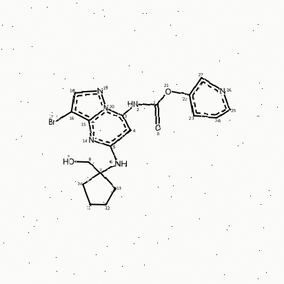 O=C(Nc1cc(NC2(CO)CCCC2)nc2c(Br)cnn12)Oc1cccnc1